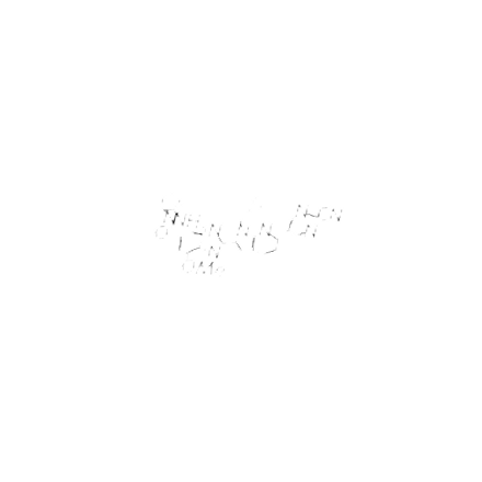 COc1cc(C(=O)N2CC3CCC2C3N)cc2nc(-c3cc4ccc(-c5cnc(C#N)nc5)nc4n3CC3CC3)n(C)c12